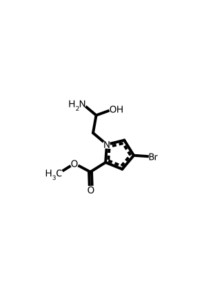 COC(=O)c1cc(Br)cn1CC(N)O